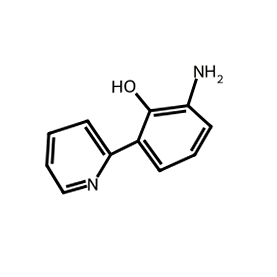 Nc1cccc(-c2ccccn2)c1O